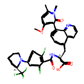 COc1cc(C)n(C)c(=O)c1-c1ccc(C[C@H](NC(=O)c2c(F)cc(N3CCCC[C@@H]3C(F)(F)F)cc2F)C(=O)O)c2cccnc12